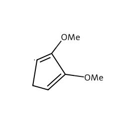 COC1=[C]CC=C1OC